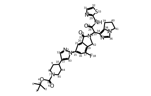 CC(C)(C)OC(=O)N1CCC(c2cnn(-c3cc(F)c4c(c3)C(=O)N(C(C(=O)Nc3nccs3)c3ncn5c3CCC5)C4)c2)CC1